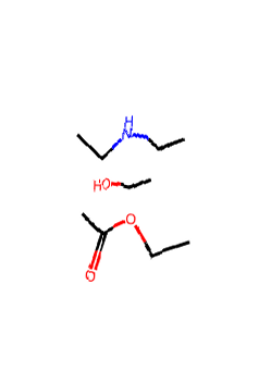 CCNCC.CCO.CCOC(C)=O